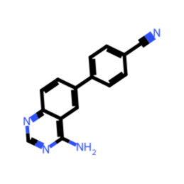 N#Cc1ccc(-c2ccc3ncnc(N)c3c2)cc1